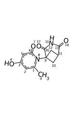 Cc1cc(O)cc(=O)n1C12CC(C1)C(=O)NC2=O